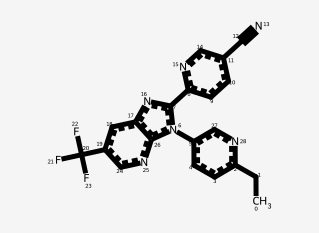 CCc1ccc(-n2c(-c3ccc(C#N)cn3)nc3cc(C(F)(F)F)cnc32)cn1